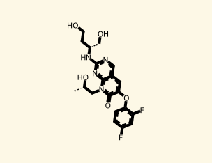 C[C@H](O)Cn1c(=O)c(Oc2ccc(F)cc2F)cc2cnc(N[C@@H](CO)CCO)nc21